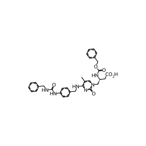 Cc1cn(C[C@H](CC(=O)O)NC(=O)OCc2ccccc2)c(=O)nc1NCc1ccc(NC(=O)NCc2ccccc2)cc1